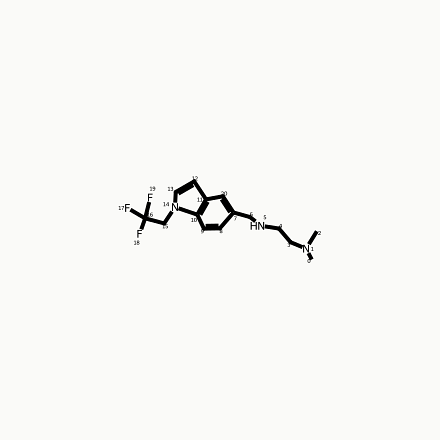 CN(C)CCNCc1ccc2c(ccn2CC(F)(F)F)c1